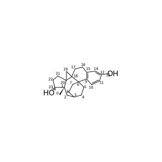 C[C@]12CC3CCC4(CC3)c3ccc(O)cc3CCC43CC31CCC2O